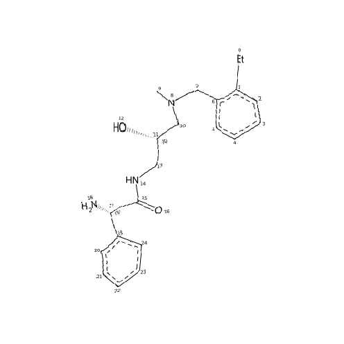 CCc1ccccc1CN(C)C[C@@H](O)CNC(=O)[C@@H](N)c1ccccc1